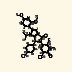 COc1ncc(-c2cc3c(n2C(C)C)C(c2ccc(Cl)cc2)N(c2cc(Cl)c(=O)n(C)c2F)C3=O)c(OC)n1